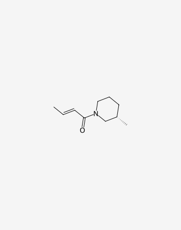 C/C=C/C(=O)N1CCC[C@H](C)C1